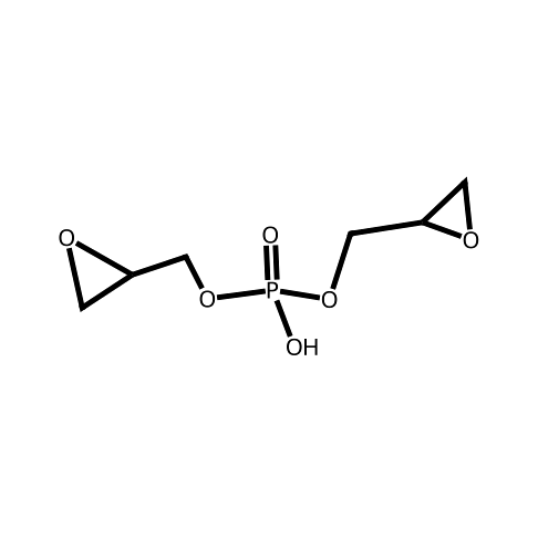 O=P(O)(OCC1CO1)OCC1CO1